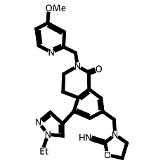 CCn1cc(-c2cc(CN3CCOC3=N)cc3c2CCN(Cc2cc(OC)ccn2)C3=O)cn1